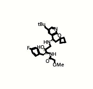 COCC(=O)N[C@@H](Cc1ccc(F)cc1)[C@@H](O)CN[C@H]1CC2(CCC2)Oc2ncc(CC(C)(C)C)cc21